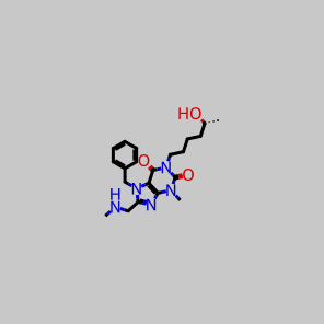 CNCc1nc2c(c(=O)n(CCCC[C@@H](C)O)c(=O)n2C)n1Cc1ccccc1